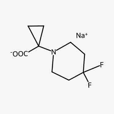 O=C([O-])C1(N2CCC(F)(F)CC2)CC1.[Na+]